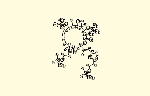 CC[Si](CC)(CC)OC1[C@@H](C)CCC[C@]2(C)[C@H](C[C@@H](/C(C)=C/c3csc(CCO[Si](C)(C)C(C)(C)C)n3)OC(=O)CC(O[Si](CC)(CC)CC)C(C)(C)C(=O)[C@@H]1C)N2CCO[Si](C)(C)C(C)(C)C